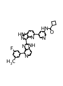 Cc1cc(F)cc(-c2nccc3[nH]c(-c4n[nH]c5ccc(-c6cncc(NC(=O)C7CCC7)c6)nc45)nc23)c1